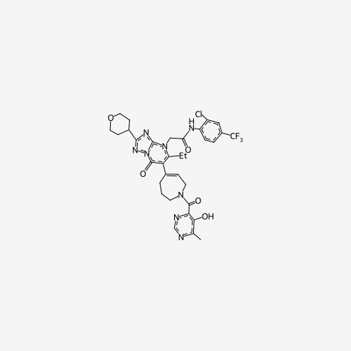 CCc1c(C2=CCN(C(=O)c3ncnc(C)c3O)CCC2)c(=O)n2nc(C3CCOCC3)nc2n1CC(=O)Nc1ccc(C(F)(F)F)cc1Cl